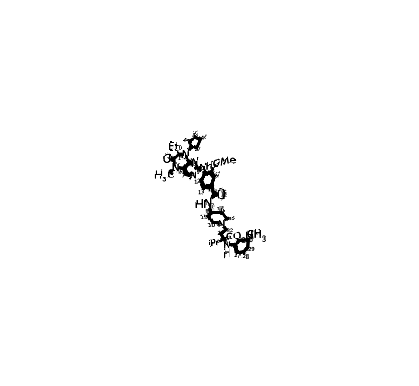 CC[C@@H]1C(=O)N(C)c2cnc(Nc3ccc(C(=O)NC4CCN(CC[C@@](NC5CCCC(C)C5)(C(=O)O)C(C)C)CC4)cc3OC)nc2N1C1CCCC1